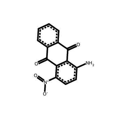 Nc1ccc([N+](=O)[O-])c2c1C(=O)c1ccccc1C2=O